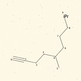 C#CCCC(C)CCCC(C)C